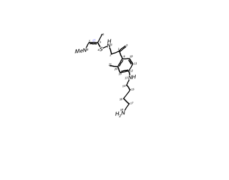 C=C(CNS/C(C)=C\NC)c1ccc(NCCCCN)cc1C